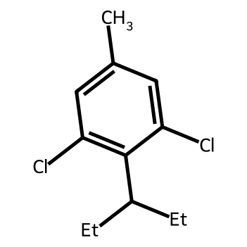 CCC(CC)c1c(Cl)cc(C)cc1Cl